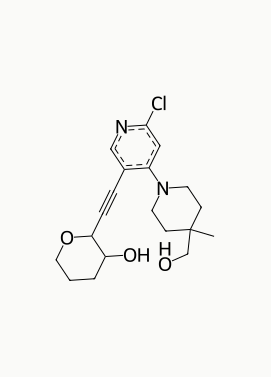 CC1(CO)CCN(c2cc(Cl)ncc2C#CC2OCCCC2O)CC1